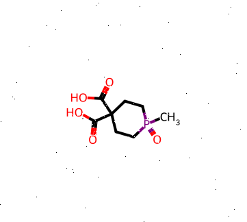 CP1(=O)CCC(C(=O)O)(C(=O)O)CC1